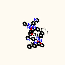 Cc1ccccc1-c1ccc2c(c1)c1cc(-c3ccc(-c4cccnc4-c4ccc(-c5nc(-c6ccccc6)nc(-c6ccccc6)n5)c(-n5c6ccccc6c6ccc(-c7ccccc7C)cc65)c4)cc3C)ccc1n2-c1cc(-c2ccccn2)ccc1-c1nc(-c2ccccc2)nc(-c2ccccc2)n1